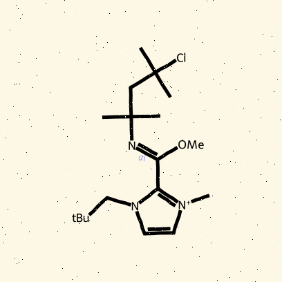 CO/C(=N\C(C)(C)CC(C)(C)Cl)c1n(CC(C)(C)C)cc[n+]1C